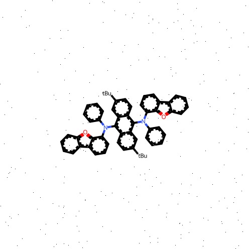 CC(C)(C)c1ccc2c(N(c3ccccc3)c3cccc4c3oc3ccccc34)c3cc(C(C)(C)C)ccc3c(N(c3ccccc3)c3cccc4c3oc3ccccc34)c2c1